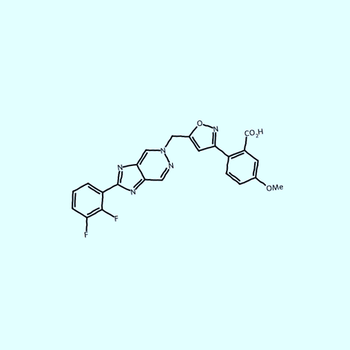 COc1ccc(-c2cc(Cn3cc4nc(-c5cccc(F)c5F)nc-4cn3)on2)c(C(=O)O)c1